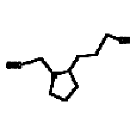 O=CCN1CCCC1CCCO